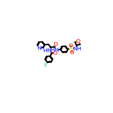 O=C(NC(Cc1cccnc1)C(=O)Nc1ccc(S(=O)(=O)NC2COC2)cc1)c1ccc(F)cc1